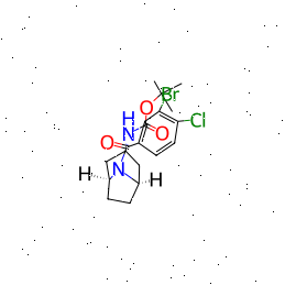 CC(C)(C)OC(=O)N[C@@H]1C[C@H]2CC[C@@H](C1)N2C(=O)c1ccc(Cl)c(Br)c1